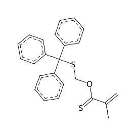 C=C(C)C(=S)OCSC(c1ccccc1)(c1ccccc1)c1ccccc1